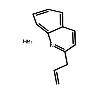 Br.C=CCc1ccc2ccccc2n1